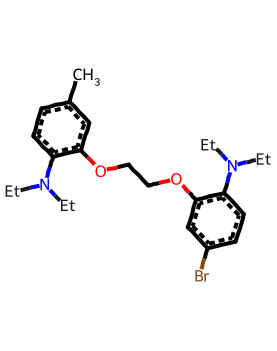 CCN(CC)c1ccc(C)cc1OCCOc1cc(Br)ccc1N(CC)CC